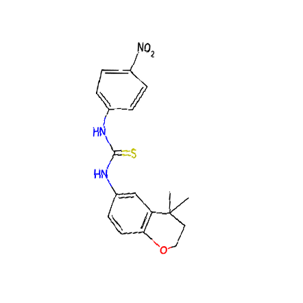 CC1(C)CCOc2ccc(NC(=S)Nc3ccc([N+](=O)[O-])cc3)cc21